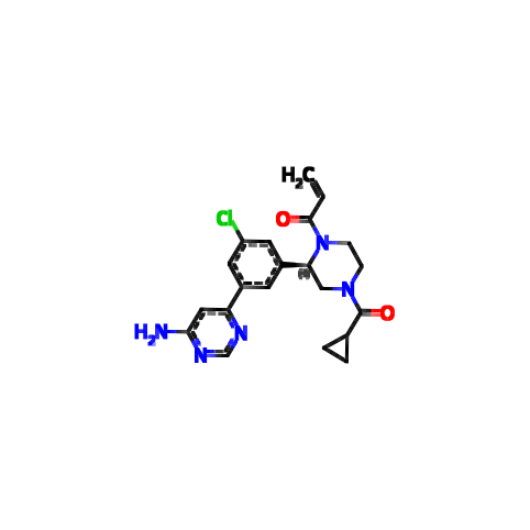 C=CC(=O)N1CCN(C(=O)C2CC2)C[C@H]1c1cc(Cl)cc(-c2cc(N)ncn2)c1